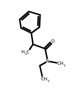 CCN(C)C(=O)C(C)c1ccccc1